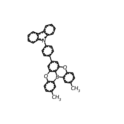 Cc1ccc2c(c1)B1c3cc(C)ccc3Oc3cc(-c4ccc(-n5c6ccccc6c6ccccc65)cc4)cc(c31)O2